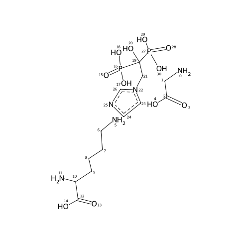 NCC(=O)O.NCCCCC(N)C(=O)O.O=P(O)(O)C(O)(Cn1ccnc1)P(=O)(O)O